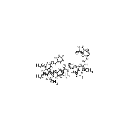 CN(CC(=O)OCc1ccccc1)C(=O)CN(C)C(=O)CN(C)C(=O)CN(C)C(=O)CN(C)C(=O)CN(C)C(=O)CN(C)C(=O)CN(C)C(=O)CCCC(=O)ON1C(=O)CCC1=O